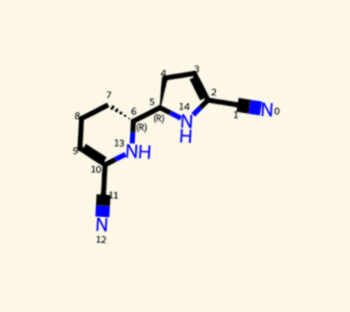 N#CC1=CC[C@H]([C@H]2CCC=C(C#N)N2)N1